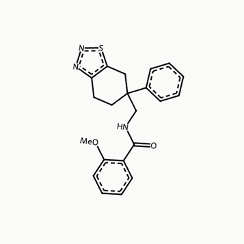 COc1ccccc1C(=O)NCC1(c2ccccc2)CCc2nnsc2C1